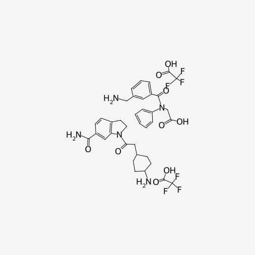 NC(=O)c1ccc2c(c1)N(C(=O)CC1CCC(N)CC1)CC2.NCc1cccc(C(=O)N(CC(=O)O)c2ccccc2)c1.O=C(O)C(F)(F)F.O=C(O)C(F)(F)F